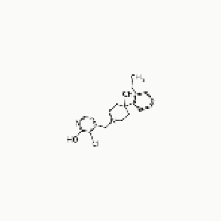 CCc1ccccc1C1(C)CCN(Cc2ccnc(O)c2Cl)CC1